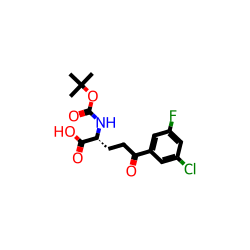 CC(C)(C)OC(=O)N[C@H](CCC(=O)c1cc(F)cc(Cl)c1)C(=O)O